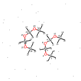 C[Si](C)(C)O[Si](C)(C)O[Si](C)(C)O[Si](C)(C)C.C[Si](C)(C)O[Si](C)(C)O[Si](C)(C)O[Si](C)(C)C